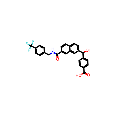 O=C(O)c1ccc(C(O)c2ccc3ccc(C(=O)NCc4ccc(C(F)(F)F)cc4)cc3c2)cc1